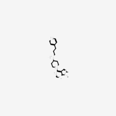 Cn1ncc2c(N3CCC(NCCCc4ccncc4)CC3)ncnc21